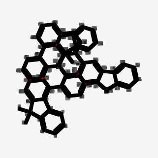 CC1(C)c2ccccc2-c2c(-c3ccccc3N(c3ccccc3-c3ccc4sc5ccccc5c4c3)c3ccccc3-c3cccc4c3C(C)(C)c3ccccc3-4)cccc21